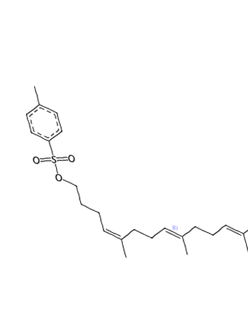 CC(C)=CCC/C(C)=C/CCC(C)=CCCCOS(=O)(=O)c1ccc(C)cc1